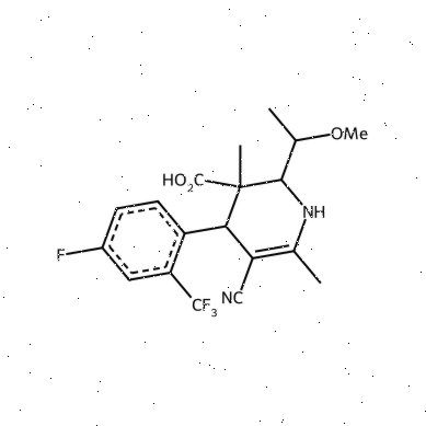 COC(C)C1NC(C)=C(C#N)C(c2ccc(F)cc2C(F)(F)F)C1(C)C(=O)O